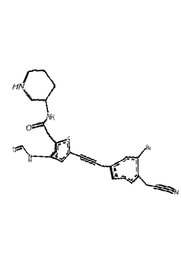 N#Cc1ccc(C#Cc2cc(NC=O)c(C(=O)NC3CCCNC3)s2)cc1Br